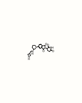 O=C1CCC(N2C(=O)c3ccc(N4CCCC(NCC5CNC5)C4)cc3C2=O)C(=O)N1